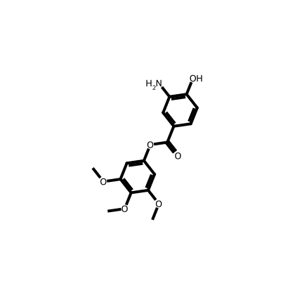 COc1cc(OC(=O)c2ccc(O)c(N)c2)cc(OC)c1OC